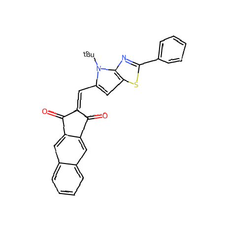 CC(C)(C)n1c(C=C2C(=O)c3cc4ccccc4cc3C2=O)cc2sc(-c3ccccc3)nc21